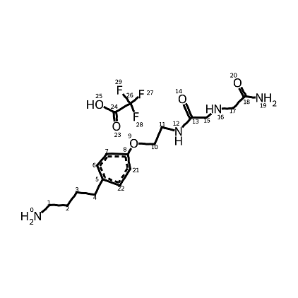 NCCCCc1ccc(OCCNC(=O)CNCC(N)=O)cc1.O=C(O)C(F)(F)F